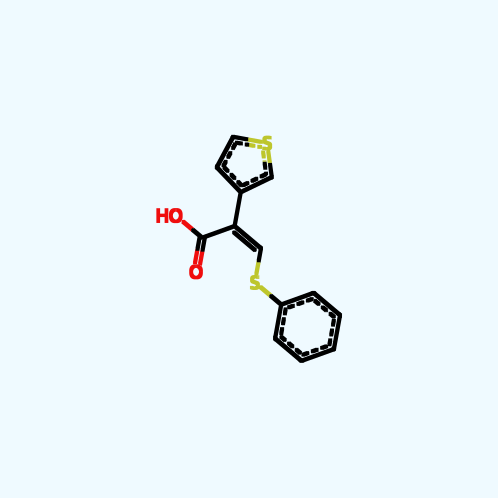 O=C(O)C(=CSc1ccccc1)c1ccsc1